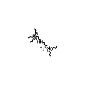 CCCOC(C)(OCCC)[SiH2]CCCNCCC[Si](OCCC)(OCCC)OCCC